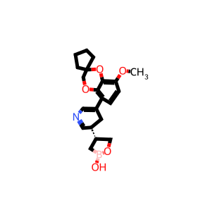 COc1ccc(C2=CN=CC([C@@H]3COB(O)C3)C2)c2c1OC1(CCCC1)CO2